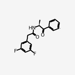 C[C@H](NC(=O)Cc1cc(F)cc(F)c1)C(=O)c1c[c]ccc1